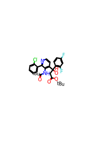 CC(C)(C)OC(=O)CC(O)(c1ccc(F)cc1F)c1ccnc(-c2ccccc2Cl)c1NC(=O)C(C)(C)C